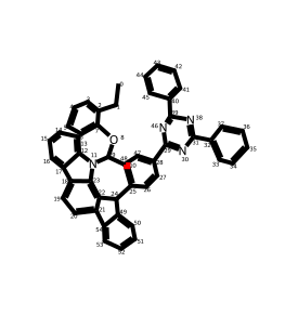 CCc1ccccc1OC(C)n1c2ccccc2c2ccc3c(c21)C(c1ccc(-c2nc(-c4ccccc4)nc(-c4ccccc4)n2)cc1)c1ccccc1-3